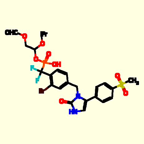 CC(C)OC(COC=O)OP(=O)(O)C(F)(F)c1ccc(Cn2c(-c3ccc(S(C)(=O)=O)cc3)c[nH]c2=O)cc1Br